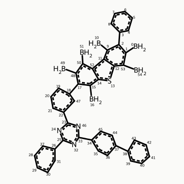 Bc1c(-c2ccccc2)c(B)c2c(sc3c(B)c(-c4cccc(-c5nc(-c6ccccc6)nc(-c6ccc(-c7ccccc7)cc6)n5)c4)c(B)c(B)c32)c1B